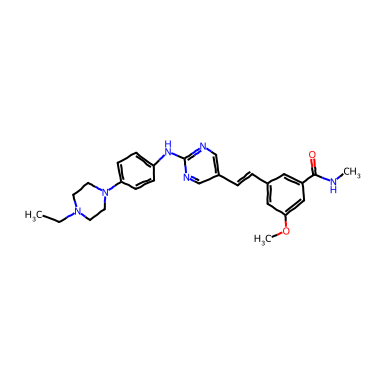 CCN1CCN(c2ccc(Nc3ncc(/C=C/c4cc(OC)cc(C(=O)NC)c4)cn3)cc2)CC1